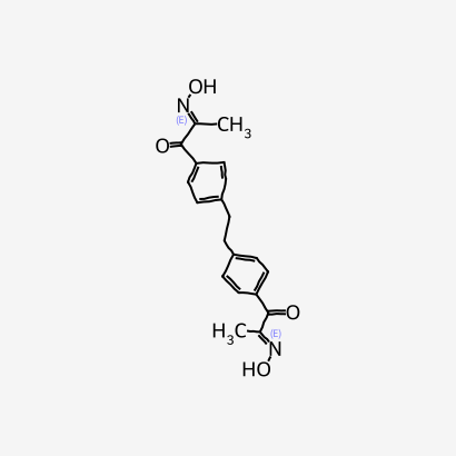 C/C(=N\O)C(=O)c1ccc(CCc2ccc(C(=O)/C(C)=N/O)cc2)cc1